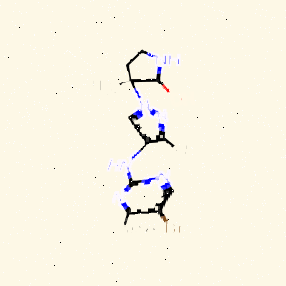 COc1nc(Nc2cn([C@]3(C)CCNC3O)nc2C)ncc1Br